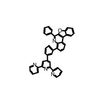 c1ccc(-c2nc3c(-c4cccc(-c5cc(-c6ccccn6)nc(-c6ccccn6)c5)c4)cccc3c3c2oc2ccccc23)cc1